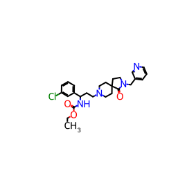 CCOC(=O)NC(CCN1CCC2(CC1)CCN(Cc1cccnc1)C2=O)c1cccc(Cl)c1